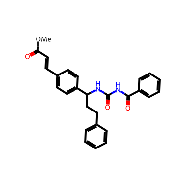 COC(=O)C=Cc1ccc(C(CCc2ccccc2)NC(=O)NC(=O)c2ccccc2)cc1